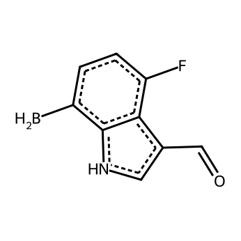 Bc1ccc(F)c2c(C=O)c[nH]c12